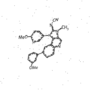 COc1cccc(-c2ccc3ncc4c(c3c2)n(-c2ccc(OC)nc2)c(=NC#N)n4C)c1